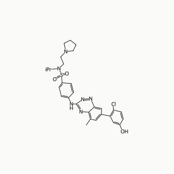 Cc1cc(-c2cc(O)ccc2Cl)cc2nnc(Nc3ccc(S(=O)(=O)N(CCN4CCCC4)C(C)C)cc3)nc12